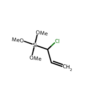 C=CC(Cl)[Si](OC)(OC)OC